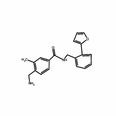 Cc1cc(C(=O)NCc2ccccc2-c2ccco2)ccc1CN